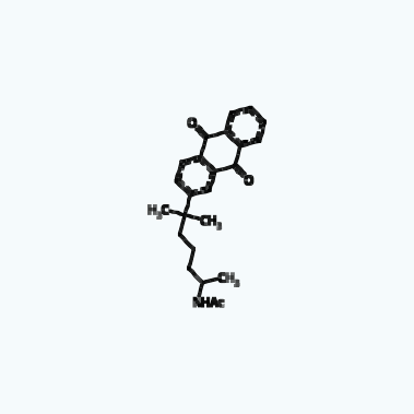 CC(=O)NC(C)CCCC(C)(C)c1ccc2c(c1)C(=O)c1ccccc1C2=O